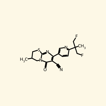 CC1CSc2nc(-c3ccc(C(C)(CF)CF)nc3)c(C#N)c(=O)n2C1